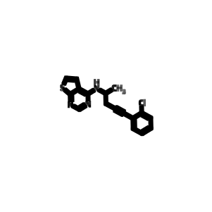 CC(CC#Cc1ccccc1Cl)Nc1ncnc2sccc12